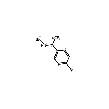 CC(C)(C)NC(c1ccc(Br)cc1)C(F)(F)F